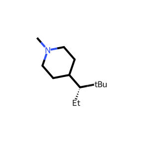 CC[C@H](C1CCN(C)CC1)C(C)(C)C